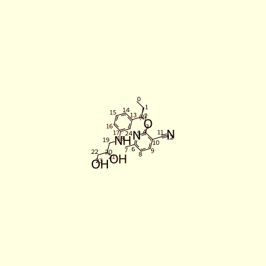 CC[C@@H](Oc1nc(C)ccc1C#N)c1cccc(NCC(O)CO)c1